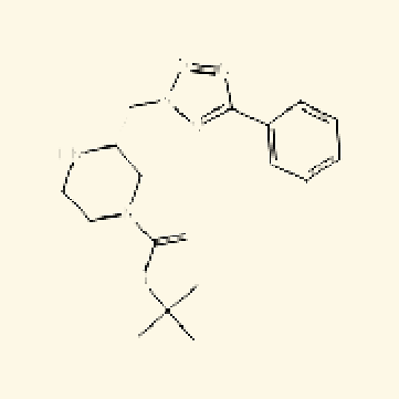 CC(C)(C)OC(=O)N1CCN[C@H](Cn2nnc(-c3ccccc3)n2)C1